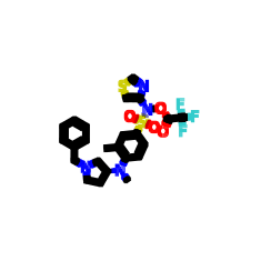 Cc1cc(S(=O)(=O)N(OC(=O)C(F)(F)F)c2cscn2)ccc1N(C)[C@H]1CCN(Cc2ccccc2)C1